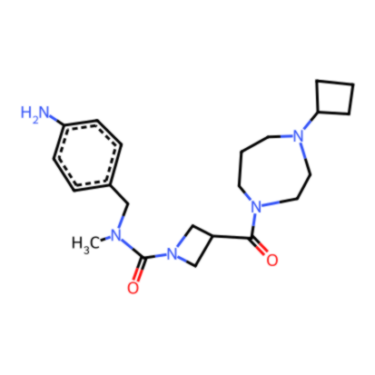 CN(Cc1ccc(N)cc1)C(=O)N1CC(C(=O)N2CCCN(C3CCC3)CC2)C1